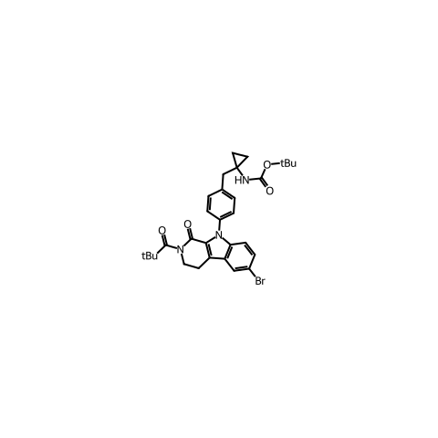 CC(C)(C)OC(=O)NC1(Cc2ccc(-n3c4c(c5cc(Br)ccc53)CCN(C(=O)C(C)(C)C)C4=O)cc2)CC1